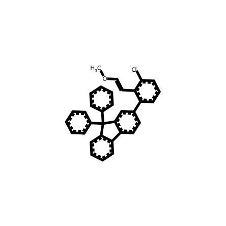 CO/C=C/c1c(Cl)cccc1-c1ccc2c(c1)C(c1ccccc1)(c1ccccc1)c1ccccc1-2